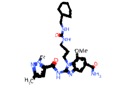 CCn1nc(C)cc1C(=O)Nc1nc2cc(C(N)=O)cc(OC)c2n1CCCNC(=O)NCC1CCCCC1